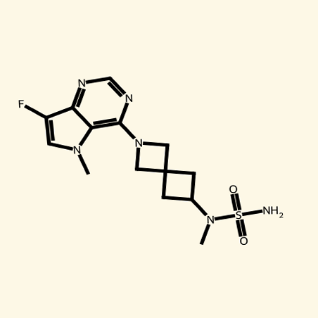 CN(C1CC2(C1)CN(c1ncnc3c(F)cn(C)c13)C2)S(N)(=O)=O